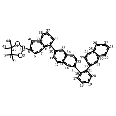 CC1(C)OB(c2ccc3c(-c4ccc5cc(-c6ccccc6-c6ccc7ccccc7c6)ccc5c4)cccc3c2)OC1(C)C